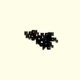 CC1(O)CN(c2nc(Cl)c(F)c3c2C(=O)N2CCN(C(=O)OC(C)(C)C)C[C@@H]2CO3)C(C)(C)C1